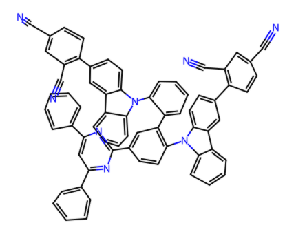 N#Cc1ccc(-c2ccc3c(c2)c2ccccc2n3-c2ccccc2-c2cc(-c3nc(-c4ccccc4)cc(-c4ccccc4)n3)ccc2-n2c3ccccc3c3cc(-c4ccc(C#N)cc4C#N)ccc32)c(C#N)c1